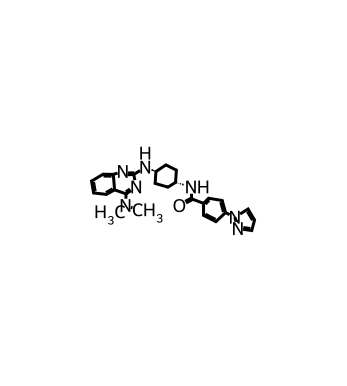 CN(C)c1nc(N[C@H]2CC[C@@H](NC(=O)c3ccc(-n4cccn4)cc3)CC2)nc2ccccc12